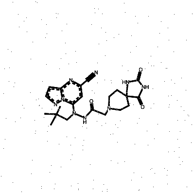 CC(C)(C)CN(NC(=O)CN1CCC2(CC1)NC(=O)NC2=O)c1cc(C#N)nc2ccnn12